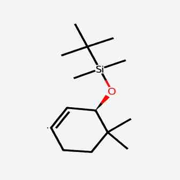 CC1(C)CC[C]=C[C@H]1O[Si](C)(C)C(C)(C)C